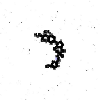 C[C@H](c1ccc(N2CC[C@H](NS(=O)(=O)/C=C/c3ccc(Cl)s3)C2=O)cc1)N(C)C